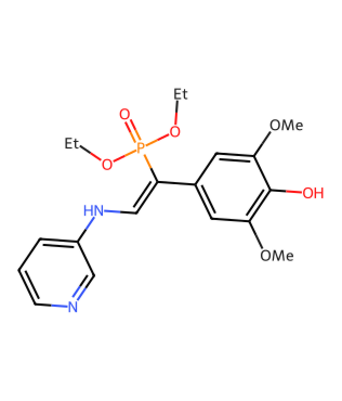 CCOP(=O)(OCC)C(=CNc1cccnc1)c1cc(OC)c(O)c(OC)c1